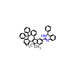 CC1(C)C2=C(c3cc(C4=Nc5ccccc5C(c5ccccc5)N4)ccc31)c1ccccc1C(c1ccccc1)(c1ccccc1)c1ccccc12